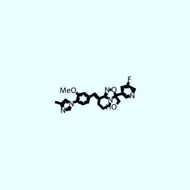 COc1cc(/C=C2\CCCN3C2=NOC3(CO)c2cncc(F)c2)ccc1-n1cnc(C)c1